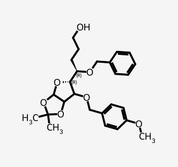 COc1ccc(COC2C3OC(C)(C)OC3O[C@@H]2[C@@H](CCCO)OCc2ccccc2)cc1